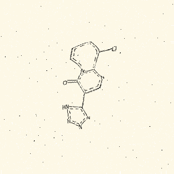 O=c1c(-c2nnn[nH]2)cnc2c(Cl)cccn12